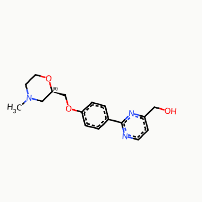 CN1CCO[C@@H](COc2ccc(-c3nccc(CO)n3)cc2)C1